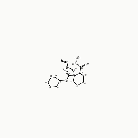 C=CC(=O)OC1(C(=O)OC2CCCCC2)CCCCC1C(=O)OC(C)C